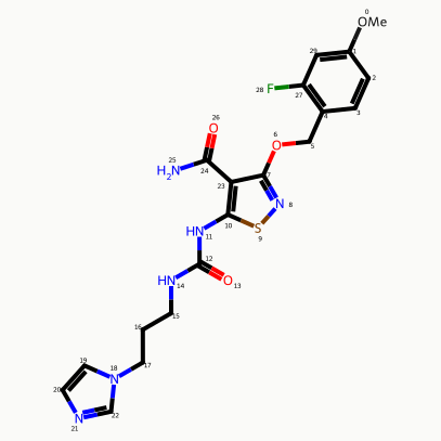 COc1ccc(COc2nsc(NC(=O)NCCCn3ccnc3)c2C(N)=O)c(F)c1